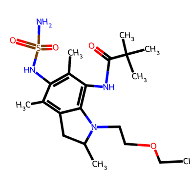 CCOCCN1c2c(c(C)c(NS(N)(=O)=O)c(C)c2NC(=O)C(C)(C)C)CC1C